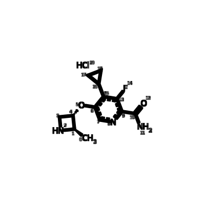 C[C@H]1NC[C@@H]1Oc1cnc(C(N)=O)c(F)c1C1CC1.Cl